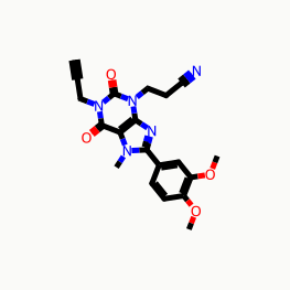 C#CCn1c(=O)c2c(nc(-c3ccc(OC)c(OC)c3)n2C)n(CCC#N)c1=O